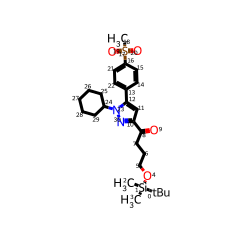 CC(C)(C)[Si](C)(C)OCCCC(=O)c1cc(-c2ccc(S(C)(=O)=O)cc2)n(C2CCCCC2)n1